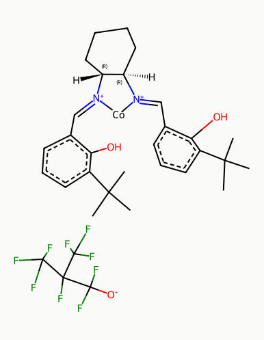 CC(C)(C)c1cccc(C=[N+]2[Co][N+](=Cc3cccc(C(C)(C)C)c3O)[C@@H]3CCCC[C@H]32)c1O.[O-]C(F)(F)C(F)(C(F)(F)F)C(F)(F)F